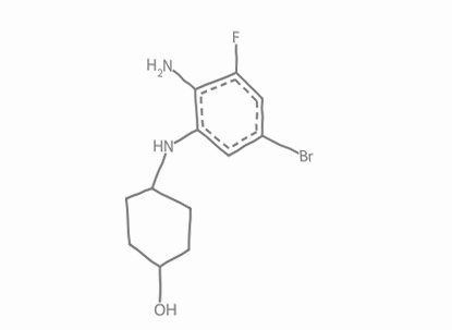 Nc1c(F)cc(Br)cc1NC1CCC(O)CC1